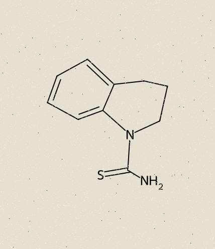 NC(=S)N1CCCc2ccccc21